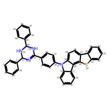 c1ccc(C2N=C(c3ccc(-n4c5ccccc5c5c6sc7ccccc7c6ccc54)cc3)NC(c3ccccc3)N2)cc1